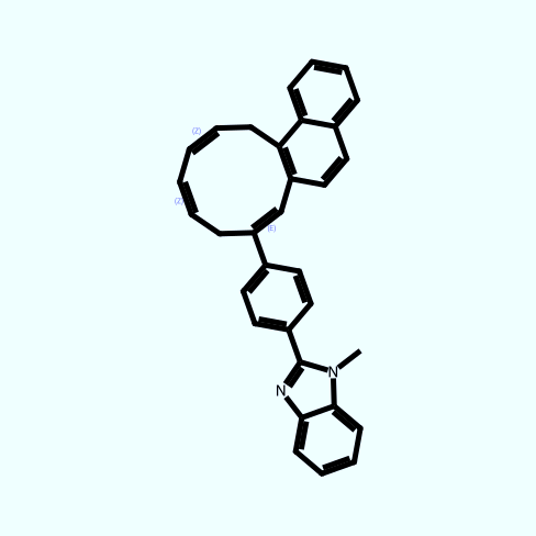 Cn1c(-c2ccc(/C3=C/c4ccc5ccccc5c4C/C=C\C=C/C3)cc2)nc2ccccc21